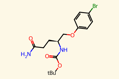 CC(C)(C)OC(=O)N[C@@H](CCC(N)=O)COc1ccc(Br)cc1